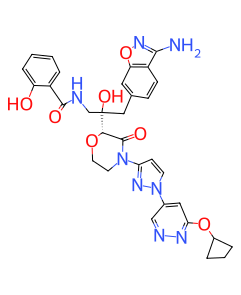 Nc1noc2cc(CC(O)(CNC(=O)c3ccccc3O)[C@H]3OCCN(c4ccn(-c5cnnc(OC6CCC6)c5)n4)C3=O)ccc12